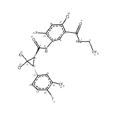 O=C(NCC(F)(F)F)c1cc(NC(=O)[C@H]2[C@H](c3ccc(F)c(C(F)(F)F)c3)C2(Cl)Cl)c(F)cc1Cl